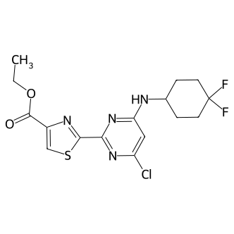 CCOC(=O)c1csc(-c2nc(Cl)cc(NC3CCC(F)(F)CC3)n2)n1